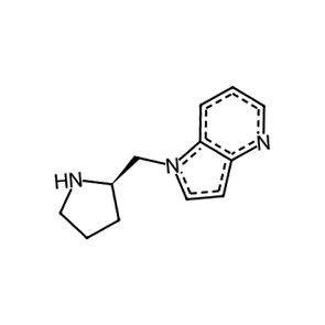 c1cnc2ccn(C[C@H]3CCCN3)c2c1